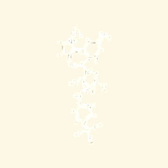 Cc1cnc(C(=O)N2C[C@H]3C[C@@H](Oc4ccc(C(F)(F)F)cn4)[C@@H]2C3)c(-c2nccn2C)c1